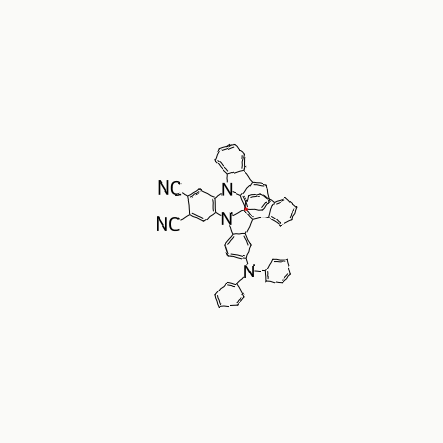 N#Cc1cc(-n2c3ccccc3c3ccccc32)c(-n2c3ccc(N(c4ccccc4)c4ccccc4)cc3c3c4ccccc4ccc32)cc1C#N